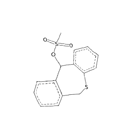 CS(=O)(=O)OC1c2ccccc2CSc2ccccc21